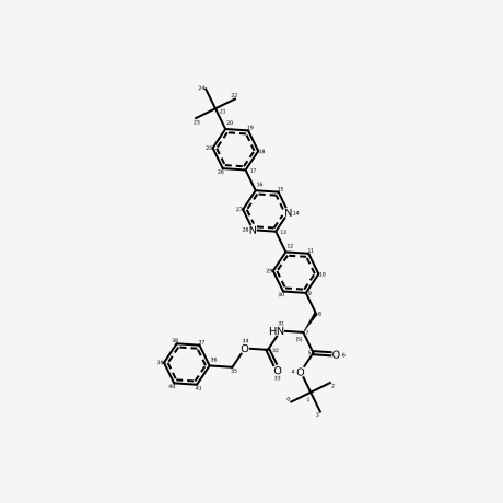 CC(C)(C)OC(=O)[C@H](Cc1ccc(-c2ncc(-c3ccc(C(C)(C)C)cc3)cn2)cc1)NC(=O)OCc1ccccc1